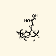 C[C@H](O[C@H](COC[C@H](O)CO)CN(C(C)(C)C)S(C)(=O)=O)C(C)(C)C